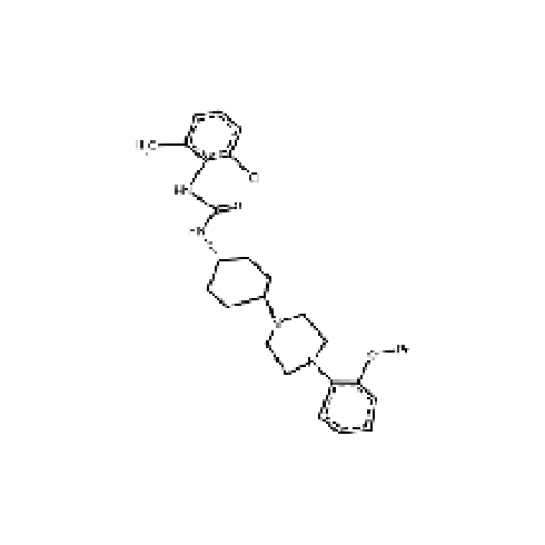 Cc1cccc(Cl)c1NC(=O)N[C@H]1CC[C@H](N2CCN(c3ccccc3OC(C)C)CC2)CC1